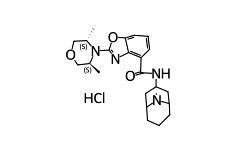 C[C@H]1COC[C@H](C)N1c1nc2c(C(=O)NC3CC4CCCC(C3)N4C)cccc2o1.Cl